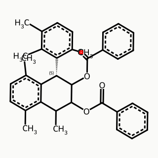 Cc1ccc(C)c([C@H]2c3c(C)ccc(C)c3C(C)C(OC(=O)c3ccccc3)C2OC(=O)c2ccccc2)c1C